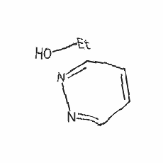 CCO.c1ccnnc1